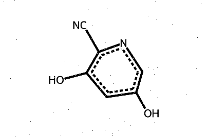 N#Cc1ncc(O)cc1O